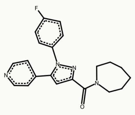 O=C(c1cc(-c2ccncc2)n(-c2ccc(F)cc2)n1)N1CCCCCC1